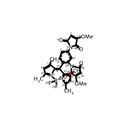 COC1=CC(=O)N(c2ccc(C3=C4C(C)=CC(C)=[N+]4[B-](F)(F)n4c(C)cc(C)c43)c(N3C(=O)C=C(OC)C3=O)c2)C1=O